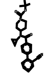 CC(C)(C)OC(=O)N1CCC(N(C(=O)c2ccc(-c3ccccc3C#N)cc2)C2CC2)CC1